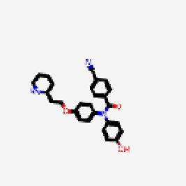 N#Cc1ccc(C(=O)N(c2ccc(O)cc2)c2ccc(OCCC3CCCCN3)cc2)cc1